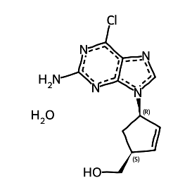 Nc1nc(Cl)c2ncn([C@H]3C=C[C@@H](CO)C3)c2n1.O